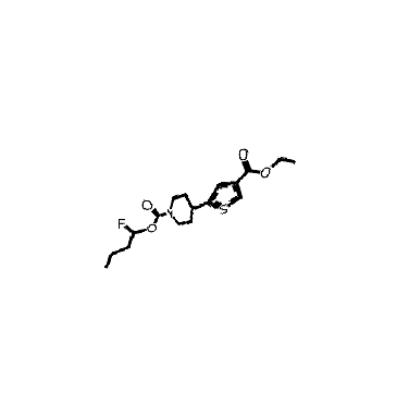 CCCC(F)OC(=O)N1CCC(c2cc(C(=O)OCC)cs2)CC1